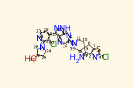 N[C@@H]1c2nc(Cl)sc2CC12CCN(c1cnc3c(-c4ccnc(N5CCC(O)C5)c4Cl)n[nH]c3n1)CC2